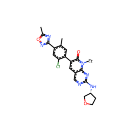 CCn1c(=O)c(-c2cc(C)c(-c3noc(C)n3)cc2Cl)cc2cnc(N[C@@H]3CCOC3)nc21